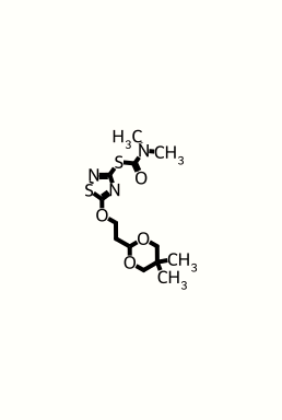 CN(C)C(=O)Sc1nsc(OCCC2OCC(C)(C)CO2)n1